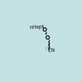 CCCCCCC[C@H]1CC[C@H](C=C[C@H]2CC[C@H](CCC=CC=C(F)C#N)CC2)CC1